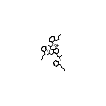 CCCCc1ccccc1OC(C)Cc1ccc(O)c(CC(C)Oc2ccccc2CCCC)c1CC(C)Oc1ccccc1CCCC